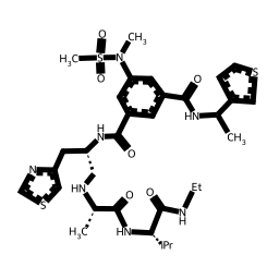 CCNC(=O)[C@@H](NC(=O)[C@H](C)NC[C@H](Cc1cscn1)NC(=O)c1cc(C(=O)NC(C)c2ccsc2)cc(N(C)S(C)(=O)=O)c1)C(C)C